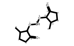 CC1CCC(=O)C1OBOC1C(=O)CCC1C